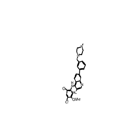 COc1cc(Nc2c(C#N)cnc3cc(-c4cccc(CN5CCN(C)CC5)c4)ccc23)c(Cl)cc1Cl